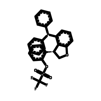 O=S(=O)(Oc1ccccc1[C@H]1COc2cccc(P(c3ccccc3)c3ccccc3)c21)C(F)(F)F